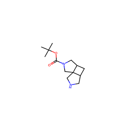 CC(C)(C)OC(=O)N1CC2CC3CNCC32C1